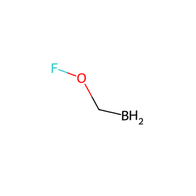 BCOF